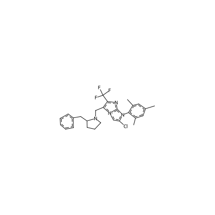 Cc1cc(C)c(-n2c(Cl)cn3c(CN4CCCC4Cc4ccccc4)c(C(F)(F)F)nc23)c(C)c1